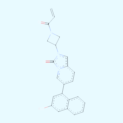 C=CC(=O)N1CC(n2cc3ccc(-c4cc(O)cc5ccccc45)cn3c2=O)C1